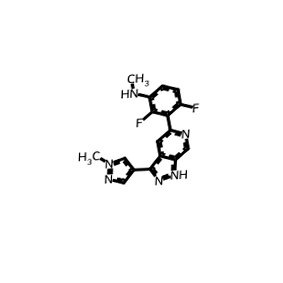 CNc1ccc(F)c(-c2cc3c(-c4cnn(C)c4)n[nH]c3cn2)c1F